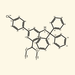 CCOC(OCC)c1cc(NC(c2ccccc2)(c2ccccc2)c2ccccc2)cc(-c2ccc(Cl)cc2)n1